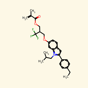 C=C(C)C(=O)OCC(COc1ccc2cc(-c3ccc(CC)cc3)n(CC(C)C)c2c1)C(F)(F)F